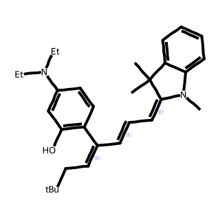 CCN(CC)c1ccc(C(=C\CC(C)(C)C)/C=C/C=C2/N(C)c3ccccc3C2(C)C)c(O)c1